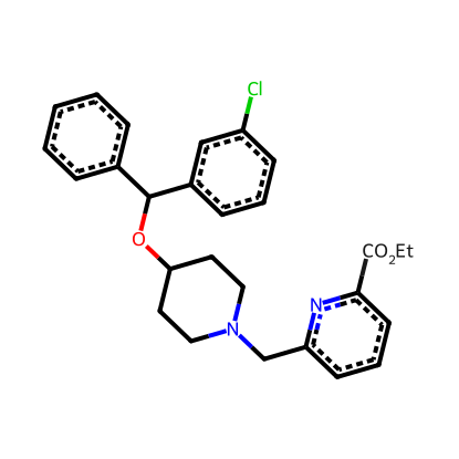 CCOC(=O)c1cccc(CN2CCC(OC(c3ccccc3)c3cccc(Cl)c3)CC2)n1